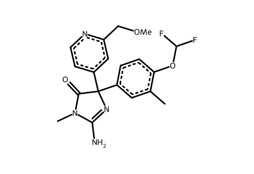 COCc1cc(C2(c3ccc(OC(F)F)c(C)c3)N=C(N)N(C)C2=O)ccn1